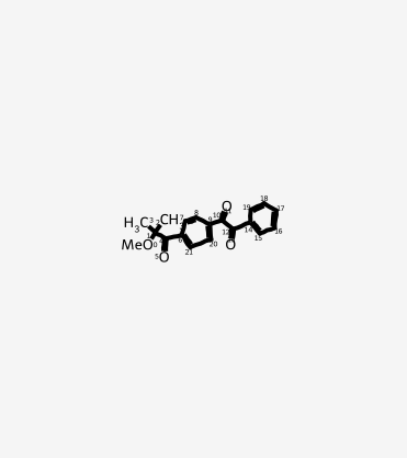 COC(C)(C)C(=O)c1ccc(C(=O)C(=O)c2ccccc2)cc1